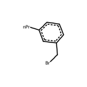 CCCc1cccc(CBr)c1